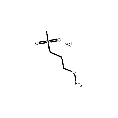 CS(=O)(=O)CCCON.Cl